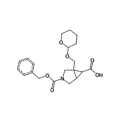 O=C(O)C1C2CN(C(=O)OCc3ccccc3)CC21COC1CCCCO1